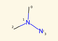 CN(C)[N]